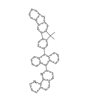 CC1(C)c2cc(-c3c4ccccc4c(-c4ccc5ccc6cccnc6c5n4)c4ccccc34)ccc2-c2cc3c(cc21)sc1ccccc13